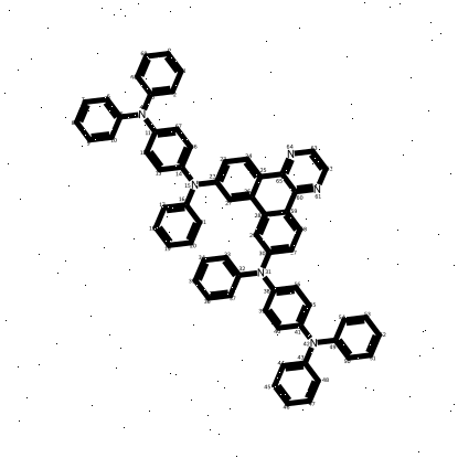 c1ccc(N(c2ccccc2)c2ccc(N(c3ccccc3)c3ccc4c(c3)c3cc(N(c5ccccc5)c5ccc(N(c6ccccc6)c6ccccc6)cc5)ccc3c3nccnc43)cc2)cc1